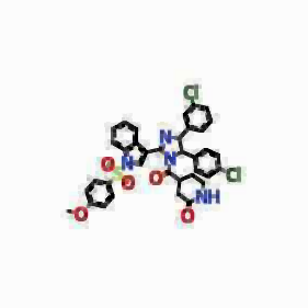 COc1ccc(S(=O)(=O)n2cc(C3=NC(c4cccc(Cl)c4)C(c4ccc(Cl)cc4)N3C(=O)C3CCNC(=O)C3)c3ccccc32)cc1